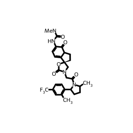 CNC(=O)NC1=CC=C2C(CC[C@]23CN(CC(=O)N2C(C)CCC2c2ccc(C(F)(F)F)cc2C)C(=O)O3)C1=O